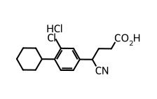 Cl.N#CC(CCC(=O)O)c1ccc(C2CCCCC2)c(Cl)c1